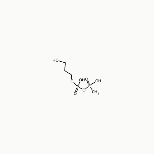 CP(=O)(O)OP(=O)(O)OCCCO